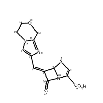 O=C(O)C1=CSC2/C(=C\c3cn4c(n3)COCC4)C(=O)N12